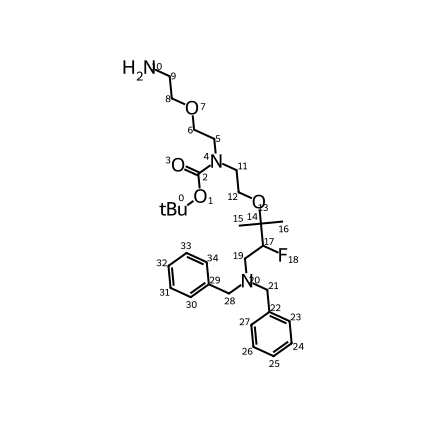 CC(C)(C)OC(=O)N(CCOCCN)CCOC(C)(C)C(F)CN(Cc1ccccc1)Cc1ccccc1